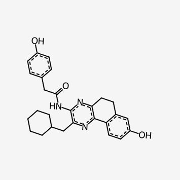 O=C(Cc1ccc(O)cc1)Nc1nc2c(nc1CC1CCCCC1)-c1ccc(O)cc1CC2